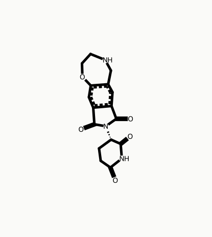 O=C1CC[C@H](N2C(=O)c3cc4c(cc3C2=O)OCCNC4)C(=O)N1